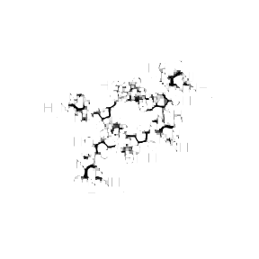 COC1C(OP([O-])(=S)OCC2SC(n3cnc4c(=O)[nH]c(N)nc43)C(O)C2OP(=O)(O)OCC2OC(n3cnc4c(=O)[nH]c(N)nc43)C(O)C2O)C(COP(=O)(O)OP(=O)(O)OP(=O)(O)OCC2OC(n3c[n+](C)c4c(=O)[nH]c(N)nc43)C(O)C2O)OC1n1cnc2c(N)ncnc21